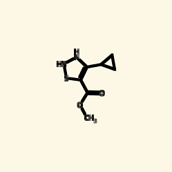 COC(=O)C1=C(C2CC2)NNS1